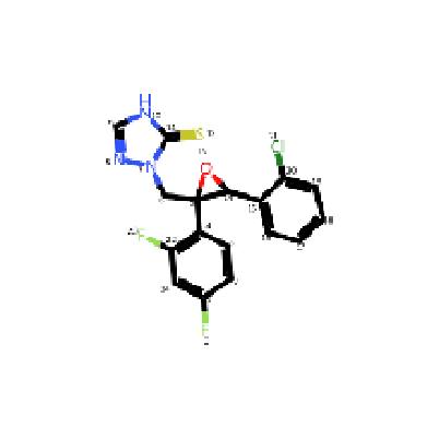 Fc1ccc(C2(Cn3nc[nH]c3=S)OC2c2ccccc2Cl)c(F)c1